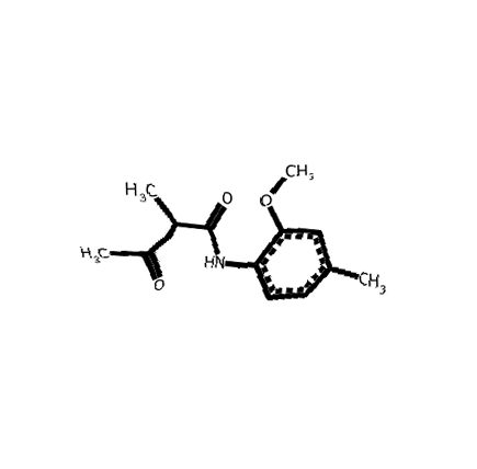 COc1cc(C)ccc1NC(=O)C(C)C(C)=O